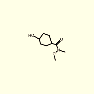 CON(C)C(=O)C1CCC(O)CC1